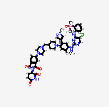 COc1cc(N2CCC(CN3CCN(c4ccc5c(c4)C(=O)N(C4CCC(=O)NC4=O)C5=O)CC3)CC2)c(-c2cnn(C)c2)cc1Nc1ncc(Cl)c(Nc2ccccc2P(C)(C)=O)n1